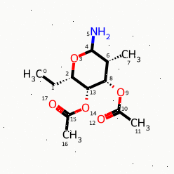 CC[C@@H]1OC(N)[C@H](C)[C@H](OC(C)=O)[C@@H]1OC(C)=O